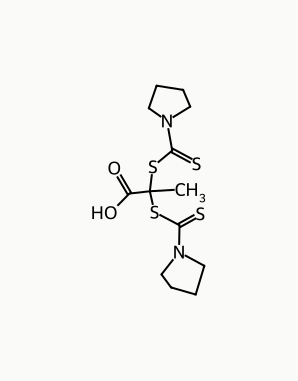 CC(SC(=S)N1CCCC1)(SC(=S)N1CCCC1)C(=O)O